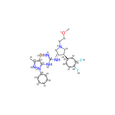 COCCN1C[C@@H](NC(=N)Nc2c(Br)c(C)nn2-c2ccccc2)[C@H](c2ccc(F)c(F)c2)C1